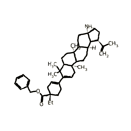 C=C(C)[C@@H]1CC[C@]2(N)CCC3[C@H](CCC4[C@@]3(C)CCC3C(C)(C)C(C5=CC[C@@](CC)(C(=O)OCc6ccccc6)CC5)=CC[C@@]34C)C12